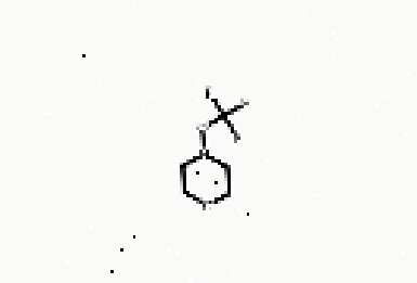 FC(F)(F)ON1CCOCC1